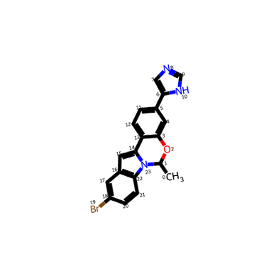 CC1Oc2cc(-c3cnc[nH]3)ccc2-c2cc3cc(Br)ccc3n21